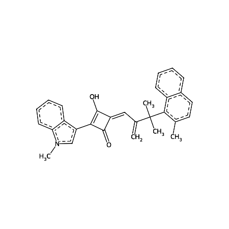 C=C(/C=C1\C(=O)C(c2cn(C)c3ccccc23)=C1O)C(C)(C)c1c(C)ccc2ccccc12